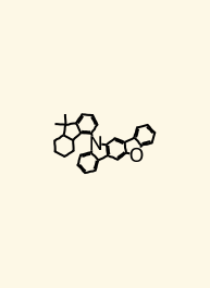 CC1(C)c2cccc(-n3c4ccccc4c4cc5oc6ccccc6c5cc43)c2C2CCCCC21